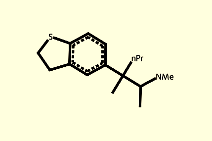 CCCC(C)(c1ccc2c(c1)CCS2)C(C)NC